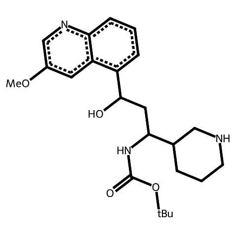 COc1cnc2cccc(C(O)CC(NC(=O)OC(C)(C)C)C3CCCNC3)c2c1